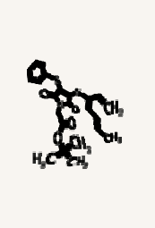 C=CC(=CC=CC)SC1=C(Sc2ccccc2)C(=O)N(CC(=O)OC(C)(C)C)C1=O